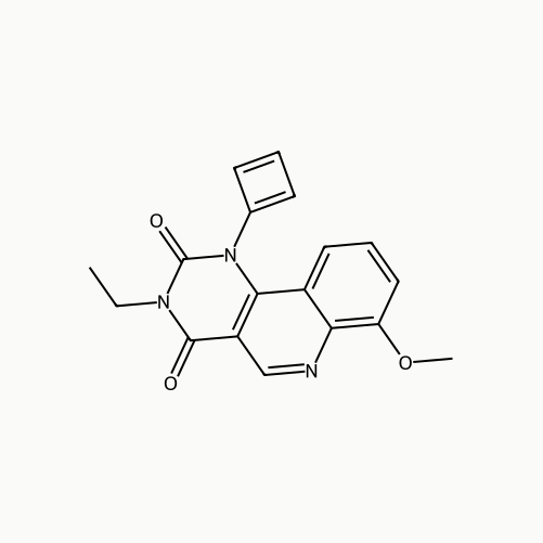 CCn1c(=O)c2cnc3c(OC)cccc3c2n(C2=CC=C2)c1=O